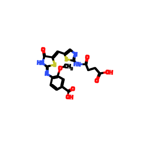 COc1cc(C(=O)O)ccc1N=C1NC(=O)C(=Cc2cnc(NC(=O)CCC(=O)O)s2)S1